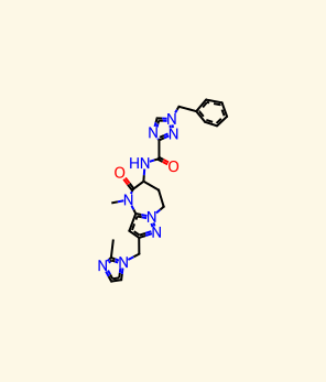 Cc1nccn1Cc1cc2n(n1)CCC(NC(=O)c1ncn(Cc3ccccc3)n1)C(=O)N2C